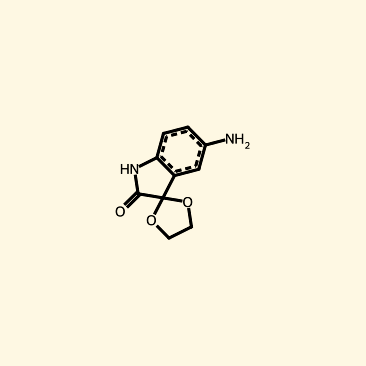 Nc1ccc2c(c1)C1(OCCO1)C(=O)N2